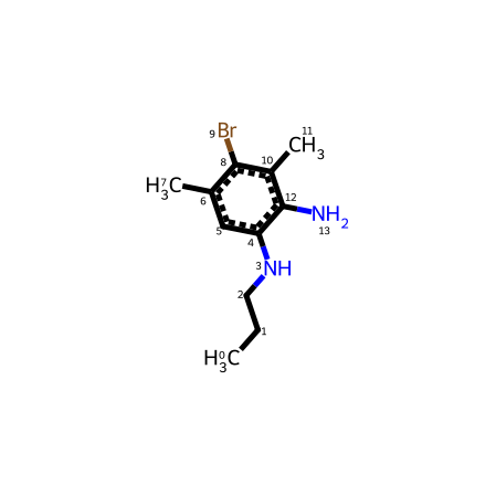 CCCNc1cc(C)c(Br)c(C)c1N